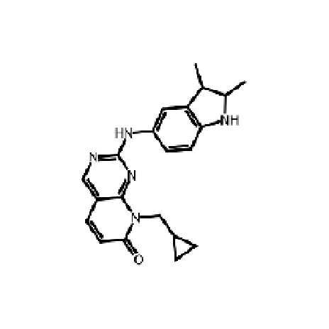 CC1Nc2ccc(Nc3ncc4ccc(=O)n(CC5CC5)c4n3)cc2C1C